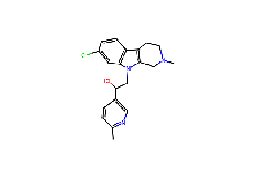 Cc1ccc(C(O)Cn2c3c(c4ccc(Cl)cc42)CCN(C)C3)cn1